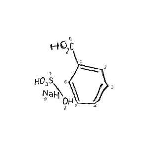 O=C(O)c1ccccc1.O=S(=O)(O)O.[NaH]